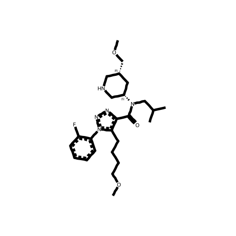 COCCCCc1c(C(=O)N(CC(C)C)[C@@H]2CNC[C@H](COC)C2)nnn1-c1ccccc1F